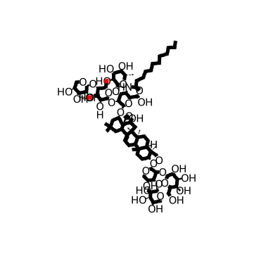 CCCCCCCCCCCC(=O)N[C@H]1C(CO)O[C@@H](OC(=O)[C@]23CCC(C)(C)CC2C2=CCC4C5(C)CC[C@H](O[C@@H]6OC[C@@H](O)[C@H](O[C@@H]7OC[C@@H](O)[C@H](O)C7O)C6O[C@@H]6OC(CO)[C@H](O)[C@H](O)C6O)[C@](C)(C=O)[C@@H]5CC[C@]4(C)[C@]2(C)CC3O)[C@H](O[C@@H]2OC(C)[C@H](O[C@@H]3OC[C@@H](O)C(O)[C@H]3O)C(O)[C@@H]2O)C1OC1O[C@@H](C)[C@H](O)C(O)[C@@H]1O